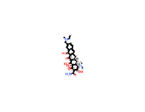 CCN(C)Cc1ccc2cc3c(c(O)c2c1)C(=O)C1=C(O)[C@]2(O)C(=O)C(C(N)=O)=C(O)[C@@H](N(C)C)[C@@H]2C[C@@H]1C3